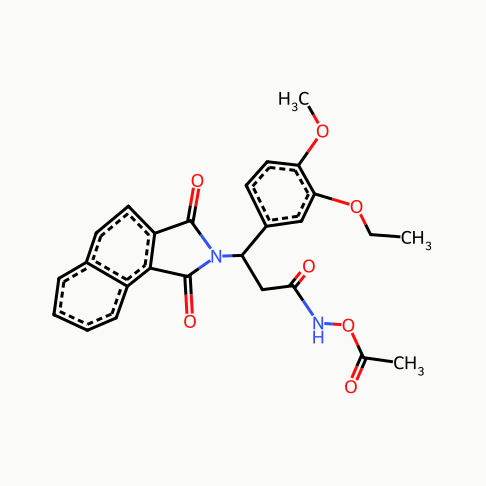 CCOc1cc(C(CC(=O)NOC(C)=O)N2C(=O)c3ccc4ccccc4c3C2=O)ccc1OC